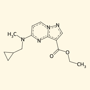 CCOC(=O)c1cnn2ccc(N(C)CC3CC3)nc12